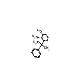 CC(C)(c1ccccc1)c1cccc(O)c1N